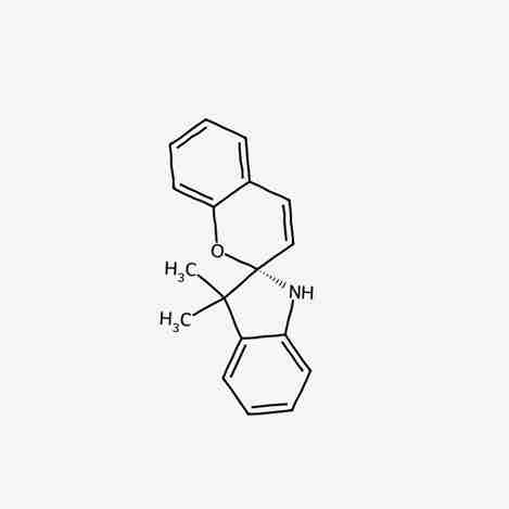 CC1(C)c2ccccc2N[C@]12C=Cc1ccccc1O2